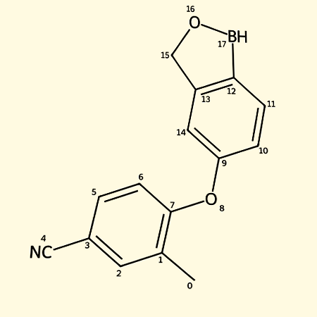 Cc1cc(C#N)ccc1Oc1ccc2c(c1)COB2